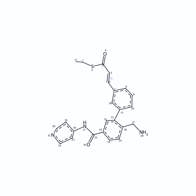 CCSC(=O)/C=C/c1cccc(-c2cc(C(=O)Nc3ccncc3)ccc2CN)c1